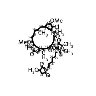 COc1cc2cc(c1Cl)N(C)C(=O)C[C@H](OC(=O)[C@H](C)N(C)S(=O)(=O)CCCCCCN1C(=O)CC(C)C1=O)[C@]1(C)OC1[C@H](C)[C@@H]1C[C@@](O)(NC(=O)O1)[C@H](OC)/C=C/C=C(\C)C2